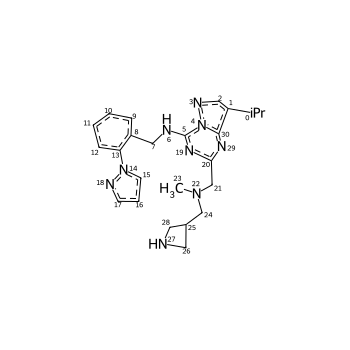 CC(C)c1cnn2c(NCc3ccccc3-n3cccn3)nc(CN(C)CC3CNC3)nc12